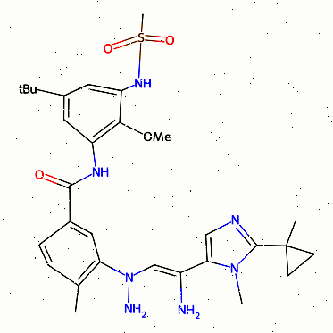 COc1c(NC(=O)c2ccc(C)c(N(N)/C=C(\N)c3cnc(C4(C)CC4)n3C)c2)cc(C(C)(C)C)cc1NS(C)(=O)=O